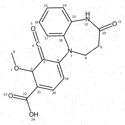 COC1C(=C=O)C(N2CCC(=O)Nc3ccccc32)=CC=C1C(=O)O